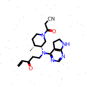 C=CC(=O)CCN(c1ncnc2c1CCN2)[C@H]1CN(C(=O)CC#N)CC[C@H]1C